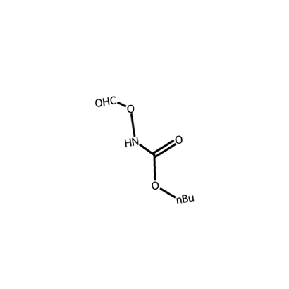 CCCCOC(=O)NOC=O